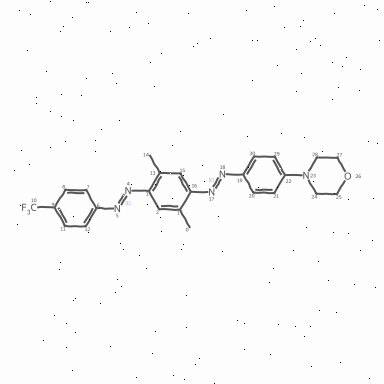 Cc1cc(/N=N/c2ccc(C(F)(F)F)cc2)c(C)cc1/N=N/c1ccc(N2CCOCC2)cc1